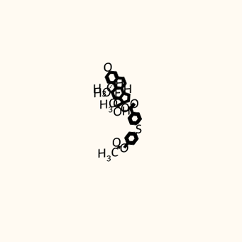 CC(=O)Oc1ccc(Sc2ccc(C(=O)O[C@]3(C(=O)O)CC[C@H]4[C@@H]5CCC6=CC(=O)C=C[C@]6(C)[C@@]5(F)[C@@H](O)C[C@@]43C)cc2)cc1